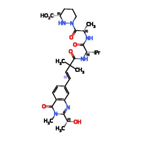 CC(C)[C@H](NC(=O)C(C)(C)/C=C/c1ccc2c(=O)n(C)c([C@@H](C)O)nc2c1)C(=O)N[C@@H](C)C(=O)N1CCC[C@@H](C(=O)O)N1